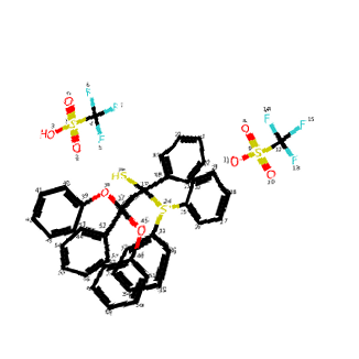 O=S(=O)(O)C(F)(F)F.O=S(=O)([O-])C(F)(F)F.SC(c1ccccc1)([S+](c1ccccc1)c1ccccc1)C(Oc1ccccc1)(Oc1ccccc1)c1ccccc1